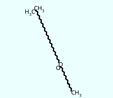 CCCCC=CCCCCCCCC(=O)OCCCCCCCCCCCCCCCCCCCCCCCCCCC(C)C